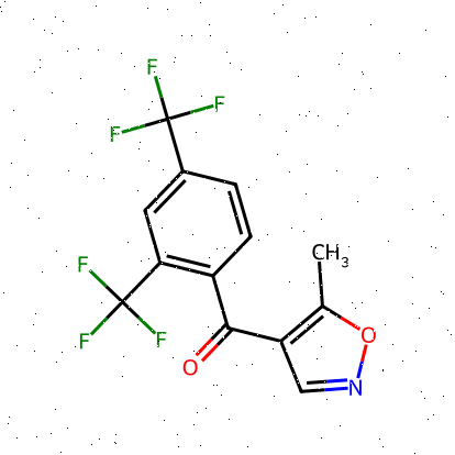 Cc1oncc1C(=O)c1ccc(C(F)(F)F)cc1C(F)(F)F